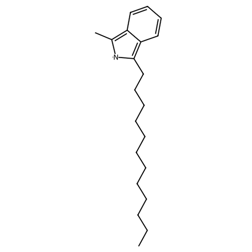 CCCCCCCCCCCCC1=c2ccccc2=C(C)[N]1